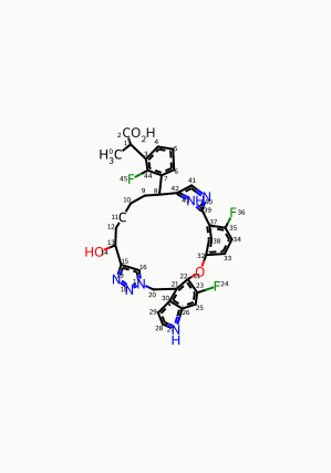 CC(C(=O)O)c1cccc(C2CCCCC(O)c3cn(nn3)Cc3c(c(F)cc4[nH]ccc34)Oc3ccc(F)c(c3)-c3ncc2[nH]3)c1F